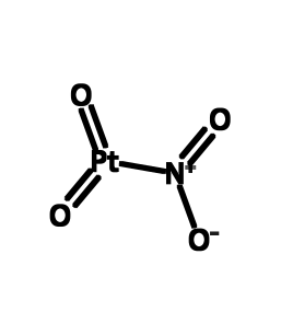 O=[N+]([O-])[Pt](=[O])=[O]